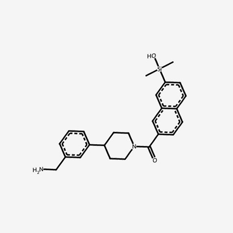 C[Si](C)(O)c1ccc2ccc(C(=O)N3CCC(c4cccc(CN)c4)CC3)cc2c1